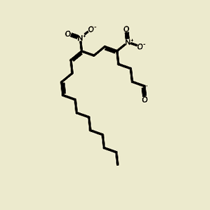 CCCCCCCC/C=C\C/C=C(\C/C=C(\CCC[C]=O)[N+](=O)[O-])[N+](=O)[O-]